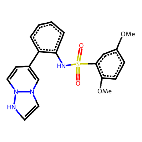 COc1ccc(OC)c(S(=O)(=O)Nc2ccccc2C2=CN3C=CNN3C=C2)c1